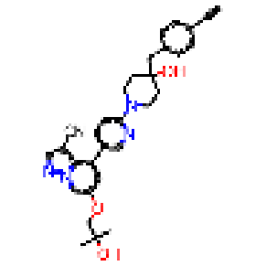 C#Cc1ccc(CC2(O)CCN(c3ccc(-c4cc(OCC(C)(C)O)cn5ncc(C#N)c45)cn3)CC2)cc1